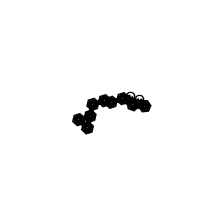 c1cc(-c2ccc3cc(-c4ccc5oc6c(ccc7c8ccccc8oc76)c5c4)ccc3c2)cc(-c2ccc3c4ccccc4c4ccccc4c3c2)c1